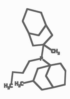 CCCCP(C1(C)CC2CCCC(C2)C1)C12CCCC(CC(C)C1)C2